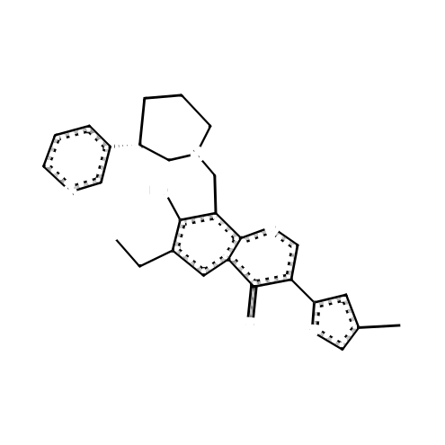 CCc1cc2c(=O)c(-c3cc(C)cs3)coc2c(CN2CCC[C@@H](c3cccnc3)C2)c1O